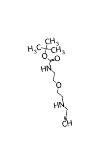 C#CCNCCOCCNC(=O)OC(C)(C)C